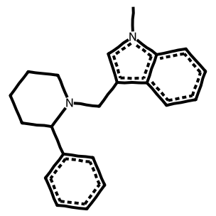 Cn1cc(CN2CCCCC2c2ccccc2)c2ccccc21